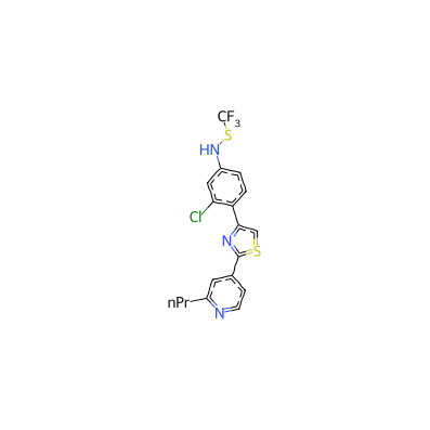 CCCc1cc(-c2nc(-c3ccc(NSC(F)(F)F)cc3Cl)cs2)ccn1